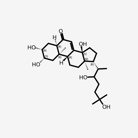 CC(C(O)CCC(C)(C)O)[C@H]1CC[C@@]2(O)C3=CC(=O)[C@@H]4C[C@@H](O)[C@@H](O)C[C@]4(C)[C@H]3CC[C@]12C